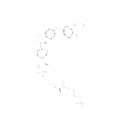 CC(C)(CCOC(C)(C)C(=O)NC(C)(C)CCOC(C)(C)CC(=O)O)NC(=O)c1cnc(NS(=O)(=O)c2ccc(Oc3ccc(F)c(C(C)(C)CC(C)(C)C(=O)O)c3)cc2)nc1